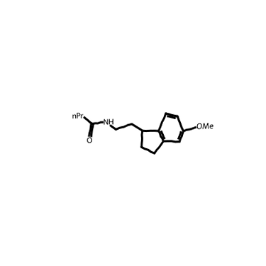 CCCC(=O)NCCC1CCc2cc(OC)ccc21